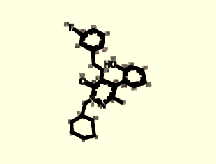 Cc1nn(CC2CCCCC2)c(=O)c(CCc2cccc(F)c2)c1-c1ccccc1O